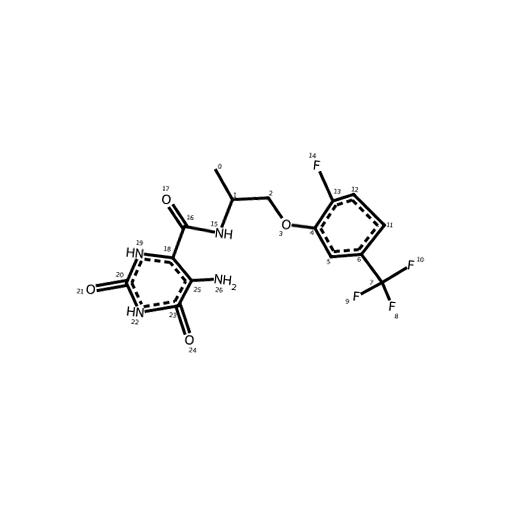 CC(COc1cc(C(F)(F)F)ccc1F)NC(=O)c1[nH]c(=O)[nH]c(=O)c1N